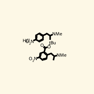 CNC(C)Cc1ccc([N+](=O)[O-])cc1.CNC(C)Cc1ccc([N+](=O)[O-])cc1C(=O)OC(C)(C)C.Cl